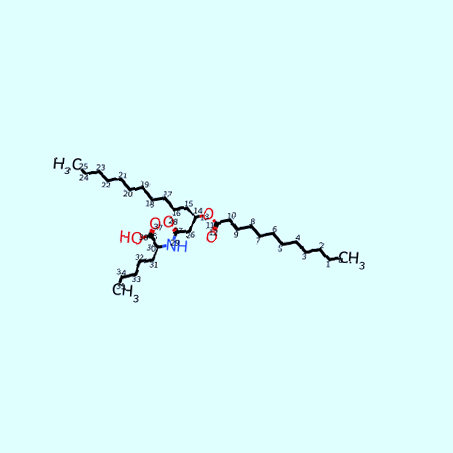 CCCCCCCCCCCC(=O)O[C@H](CCCCCCCCCCC)CC(=O)N[C@@H](CCCCC)C(=O)O